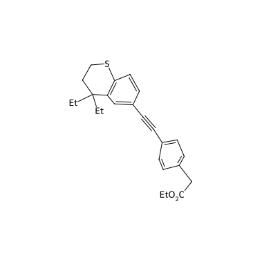 CCOC(=O)Cc1ccc(C#Cc2ccc3c(c2)C(CC)(CC)CCS3)cc1